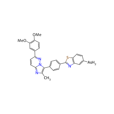 COc1ccc(-c2ccc3nc(C)c(-c4ccc(-c5nc6cc([AsH2])ccc6s5)cc4)n3n2)cc1OC